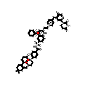 CC1(C)CCC(c2ccc(Cl)cc2)=C(CN2CCN(c3ccc(C(=O)NS(=O)(=O)c4ccc(N[C@H](CCN5CC6CCC5CN6Cc5cc(N6CCC(=O)NC6=O)ncc5F)CSc5ccccc5)c(S(=O)(=O)C(F)(F)F)c4)cc3)CC2)C1